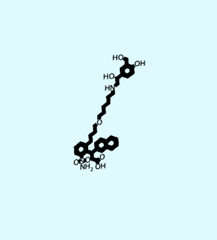 NS(=O)(=O)c1cccc(CCCCOCCCCCCNC[C@H](O)c2ccc(O)c(CO)c2)c1C(CC(=O)O)c1ccc2ccccc2c1